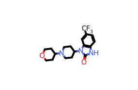 O=c1[nH]c2ccc(C(F)(F)F)cc2n1C1CCN(C2CCOCC2)CC1